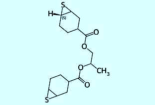 CC(COC(=O)C1CC[C@@H]2SC2C1)OC(=O)C1CCC2SC2C1